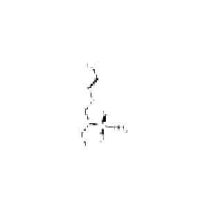 CCC(CCC=CO)S(N)(=O)=O